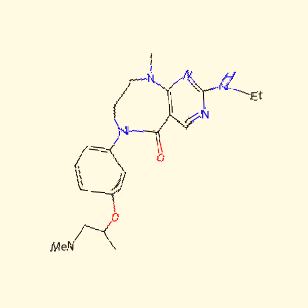 CCNc1ncc2c(n1)N(C)CCN(c1cccc(OC(C)CNC)c1)C2=O